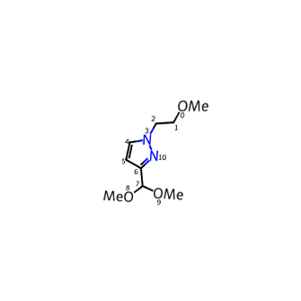 COCCn1ccc(C(OC)OC)n1